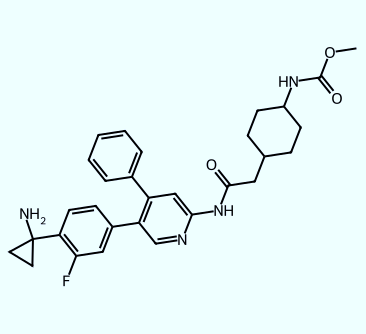 COC(=O)NC1CCC(CC(=O)Nc2cc(-c3ccccc3)c(-c3ccc(C4(N)CC4)c(F)c3)cn2)CC1